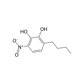 CCCCc1ccc([N+](=O)[O-])c(O)c1O